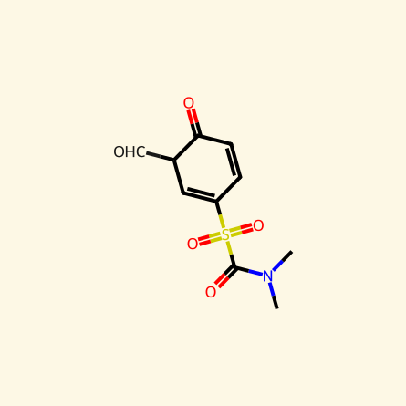 CN(C)C(=O)S(=O)(=O)C1=CC(C=O)C(=O)C=C1